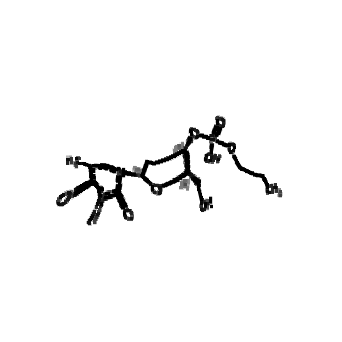 CCCOP(=O)(O)O[C@@H]1C[C@H](n2cc(C)c(=O)[nH]c2=O)O[C@@H]1CO